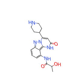 CC(O)C(=O)Nc1cccc2nn3c(C4CCNCC4)cc(=O)[nH]c3c12